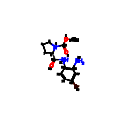 CC(C)(C)OC(=O)N1CCC[C@H]1C(=O)Nc1ccc(Br)cc1N